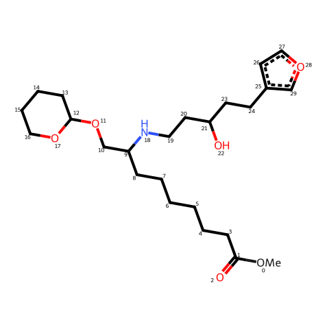 COC(=O)CCCCCCC(COC1CCCCO1)NCCC(O)CCc1ccoc1